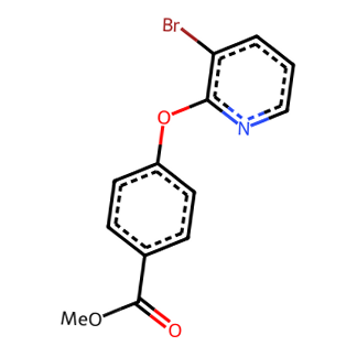 COC(=O)c1ccc(Oc2ncccc2Br)cc1